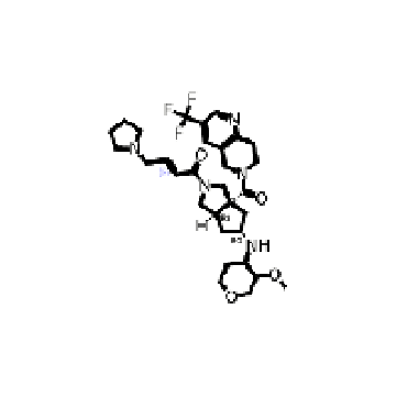 COC1COCCC1N[C@@H]1C[C@H]2CN(C(=O)/C=C/CN3CCCC3)C[C@@]2(C(=O)N2CCc3ncc(C(F)(F)F)cc3C2)C1